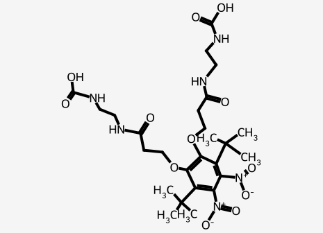 CC(C)(C)c1c(OCCC(=O)NCCNC(=O)O)c(OCCC(=O)NCCNC(=O)O)c(C(C)(C)C)c([N+](=O)[O-])c1[N+](=O)[O-]